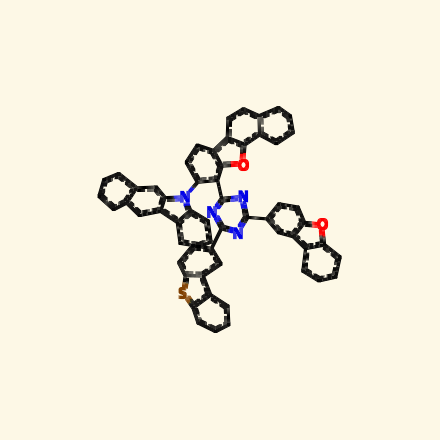 c1ccc2cc3c(cc2c1)c1ccccc1n3-c1ccc2c(oc3c4ccccc4ccc23)c1-c1nc(-c2ccc3oc4ccccc4c3c2)nc(-c2ccc3sc4ccccc4c3c2)n1